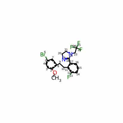 COc1ccc(Br)cc1CCc1c(F)cccc1C1=NCCN1CC(F)(F)F